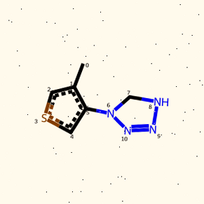 Cc1cscc1N1CNN=N1